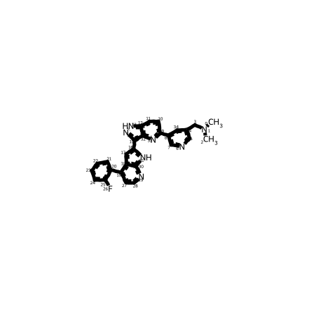 CN(C)Cc1cncc(-c2ccc3[nH]nc(-c4cc5c(-c6ccccc6F)ccnc5[nH]4)c3n2)c1